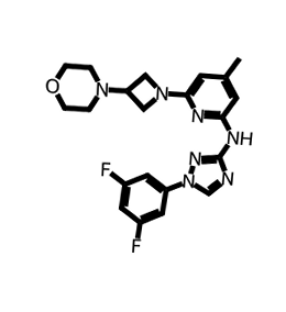 Cc1cc(Nc2ncn(-c3cc(F)cc(F)c3)n2)nc(N2CC(N3CCOCC3)C2)c1